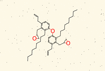 C=CCc1ccc(Oc2ccc(CC=C)c(CC3CO3)c2CCCCCCCCC)c(CCCCCCCCC)c1CC1CO1